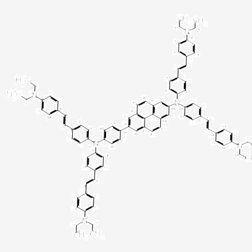 CCN(CC)c1ccc(C=Cc2ccc(N(c3ccc(C=Cc4ccc(N(CC)CC)cc4)cc3)c3ccc(-c4cc5ccc6cc(N(c7ccc(C=Cc8ccc(N(CC)CC)cc8)cc7)c7ccc(C=Cc8ccc(N(CC)CC)cc8)cc7)cc7ccc(c4)c5c67)cc3)cc2)cc1